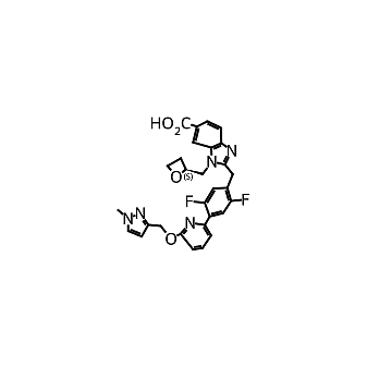 Cn1ccc(COc2cccc(-c3cc(F)c(Cc4nc5ccc(C(=O)O)cc5n4C[C@@H]4CCO4)cc3F)n2)n1